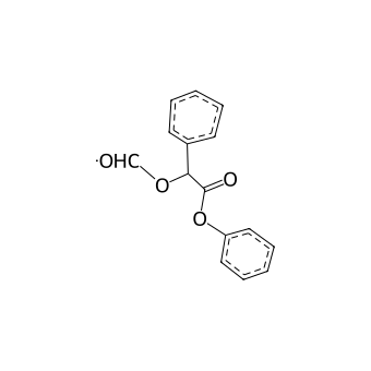 O=[C]OC(C(=O)Oc1ccccc1)c1ccccc1